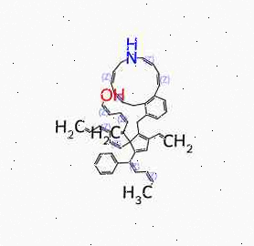 C=C/C=C\C=C/C1(C(=C)/C=C\C=C/O)C(/C(=C\C=C/C)c2ccccc2)=CC(C=C)=C1Cc1cccc2c1C/C=C\C=C/CN/C=C\C=C/2